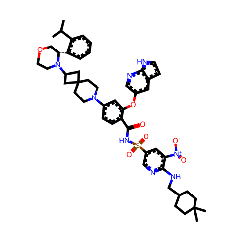 CC(C)c1ccccc1[C@H]1COCCN1C1CC2(CCN(c3ccc(C(=O)NS(=O)(=O)c4cnc(NCC5CCC(C)(C)CC5)c([N+](=O)[O-])c4)c(Oc4cnc5[nH]ccc5c4)c3)CC2)C1